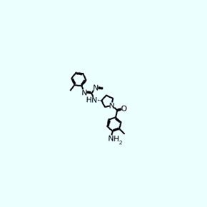 C=N/C(=N\c1ccccc1C)N[C@@H]1CCN(C(=O)c2ccc(N)c(C)c2)C1